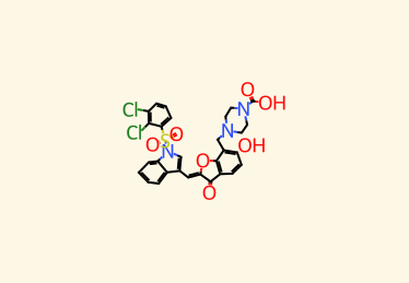 O=C1C(=Cc2cn(S(=O)(=O)c3cccc(Cl)c3Cl)c3ccccc23)Oc2c1ccc(O)c2CN1CCN(C(=O)O)CC1